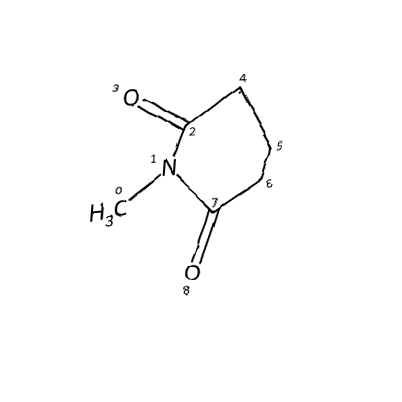 CN1C(=O)[CH]CCC1=O